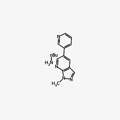 CCCCN.Cn1ncc2cc(-c3cccnc3)cnc21